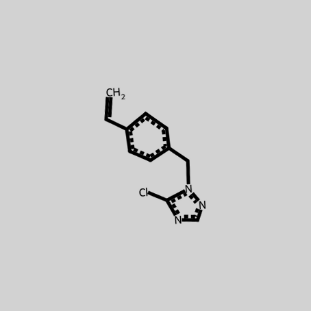 C=Cc1ccc(Cn2ncnc2Cl)cc1